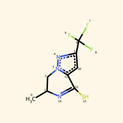 CC1Cn2nc(C(F)(F)F)cc2C(S)=N1